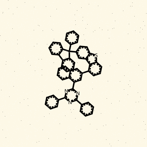 c1ccc(-c2nc(-c3ccccc3)nc(-c3cc(-c4cccc5sc6ccc(C7(c8ccccc8)c8ccccc8-c8ccccc87)cc6c45)cc4ccccc34)n2)cc1